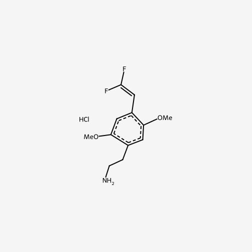 COc1cc(CCN)c(OC)cc1C=C(F)F.Cl